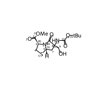 COC(=O)[C@@H]1CS[C@H]2C[C@@](CO)(NC(=O)OC(C)(C)C)C(=O)N21